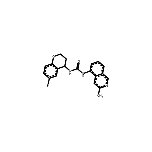 Cc1cc2c(NC(=O)NC3CCOc4ccc(F)cc43)cccc2cn1